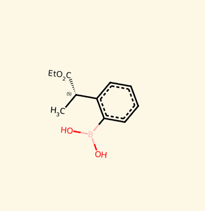 CCOC(=O)[C@@H](C)c1ccccc1B(O)O